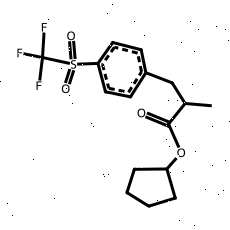 CC(Cc1ccc(S(=O)(=O)C(F)(F)F)cc1)C(=O)OC1CCCC1